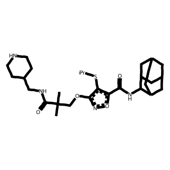 CC(C)Sc1c(OCC(C)(C)C(=O)NCC2CCNCC2)noc1C(=O)NC1C2CC3CC(C2)CC1C3